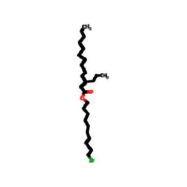 CCCCCCCCCC/C(=C/C(=O)OCCCCCCCCCCBr)CCC